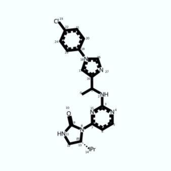 CC(Nc1nccc(N2C(=O)NC[C@H]2C(C)C)n1)c1cn(-c2ccc(Cl)cc2)cn1